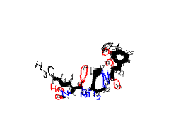 CCCCC[C@H](CN(O)C=O)C(=O)N(N)C1CCN(C(=O)c2cc3cccc(OC)c3o2)CC1